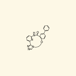 O=C1Nc2cccc(n2)-c2nncn2CCCOc2ccc(-c3ccccc3)cc21